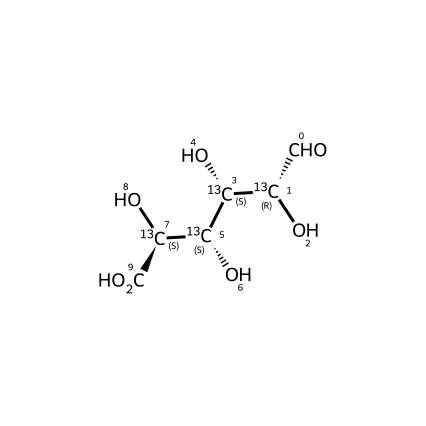 O=[13CH][13C@H](O)[13C@@H](O)[13C@H](O)[13C@H](O)[13C](=O)O